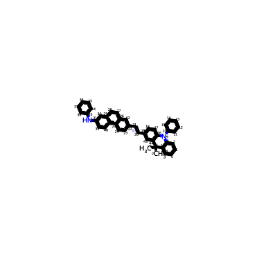 CC1(C)c2ccccc2N(c2ccccc2)c2ccc(/C=C/c3ccc4c(ccc5cc(Nc6ccccc6)ccc54)c3)cc21